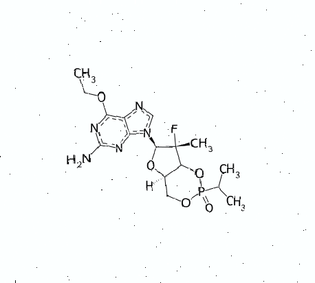 CCOc1nc(N)nc2c1ncn2[C@@H]1O[C@@H]2COP(=O)(C(C)C)OC2[C@@]1(C)F